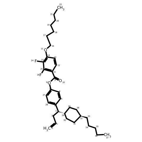 C=CCC(c1ccc(OC(=O)c2ccc(OCCCCCCC)c(F)c2F)cc1)[C@H]1CC[C@H](CCCCC)CC1